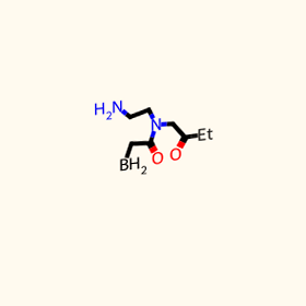 BCC(=O)N(CCN)CC(=O)CC